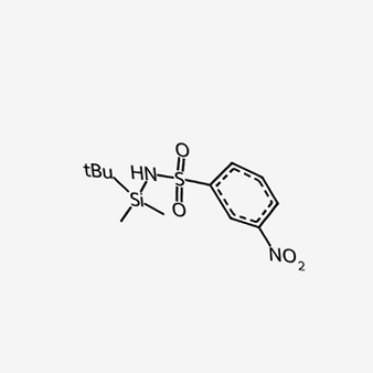 CC(C)(C)[Si](C)(C)NS(=O)(=O)c1cccc([N+](=O)[O-])c1